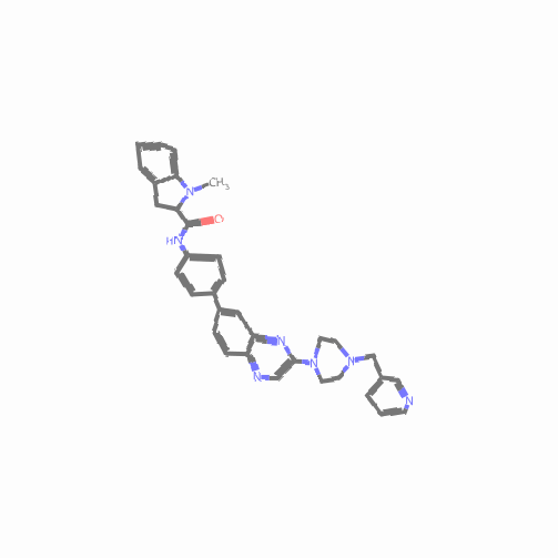 CN1c2ccccc2CC1C(=O)Nc1ccc(-c2ccc3ncc(N4CCN(Cc5cccnc5)CC4)nc3c2)cc1